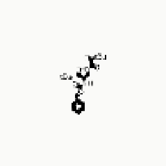 CC(C)(C)OC(=O)C(CNC(=O)C(=O)C(C)(C)C)NC(=O)OCc1ccccc1